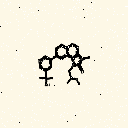 COC(C)Cn1c(=O)n(C)c2cnc3ccc(-c4cncc(C(C)(C)O)c4)cc3c21